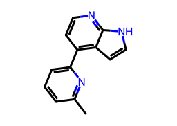 Cc1cccc(-c2ccnc3[nH]ccc23)n1